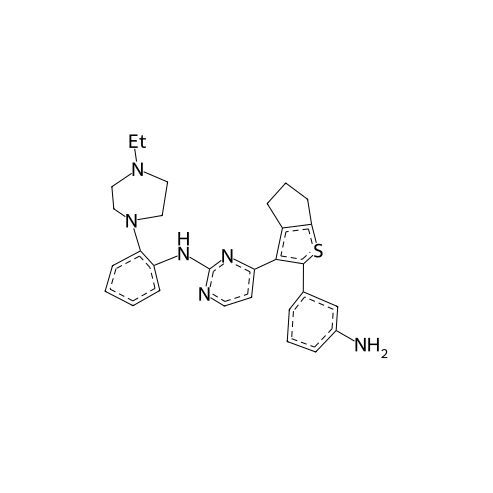 CCN1CCN(c2ccccc2Nc2nccc(-c3c(-c4cccc(N)c4)sc4c3CCC4)n2)CC1